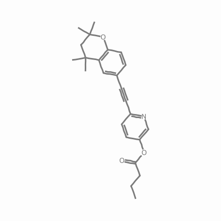 CCCC(=O)Oc1ccc(C#Cc2ccc3c(c2)C(C)(C)CC(C)(C)O3)nc1